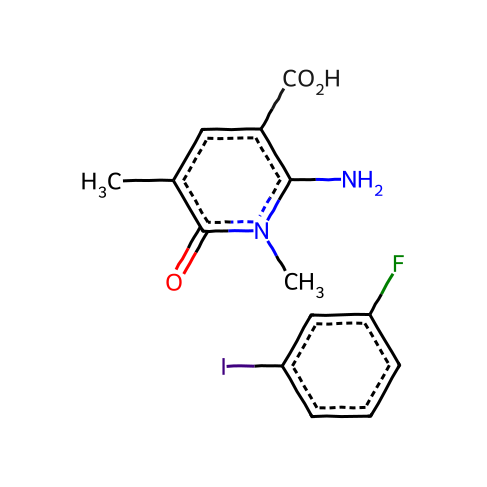 Cc1cc(C(=O)O)c(N)n(C)c1=O.Fc1cccc(I)c1